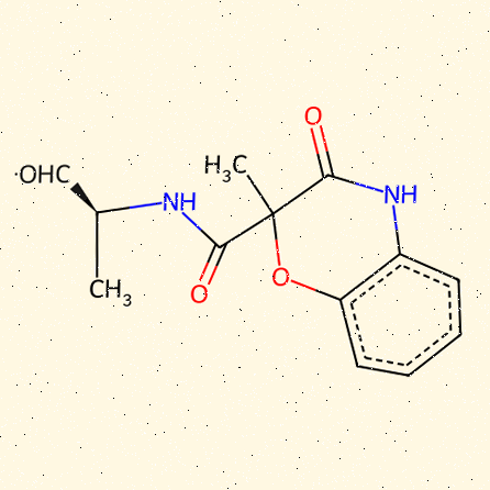 C[C@@H]([C]=O)NC(=O)C1(C)Oc2ccccc2NC1=O